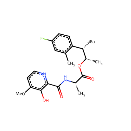 CCC(C)[C@@H](c1ccc(F)cc1C)[C@H](C)OC(=O)[C@H](C)NC(=O)c1nccc(OC)c1O